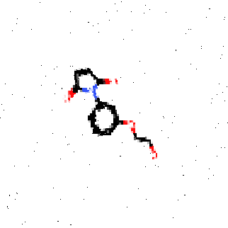 O=C1C=CC(=O)N1c1cccc(OCCO)c1